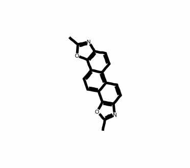 Cc1nc2ccc3c4ccc5nc(C)oc5c4ccc3c2o1